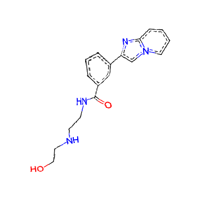 O=C(NCCNCCO)c1cccc(-c2cn3ccccc3n2)c1